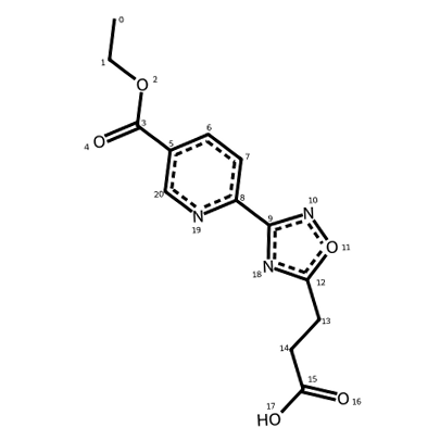 CCOC(=O)c1ccc(-c2noc(CCC(=O)O)n2)nc1